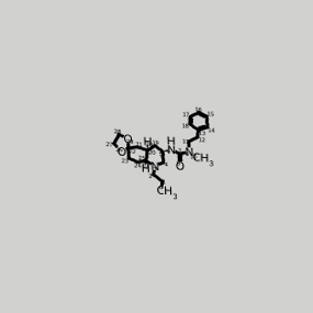 CCCN1C[C@@H](NC(=O)N(C)CCc2ccccc2)C[C@@H]2CC3(CC[C@H]21)OCCO3